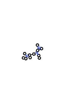 c1ccc(N(c2cccc3ccccc23)c2ccc(-c3ccc(N(c4ccc5ccccc5c4)c4ccc5c(c4)c4ccccc4n5-c4ccccc4)cc3)c3ccccc23)cc1